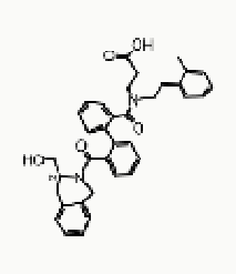 Cc1ccccc1CCN(CCC(=O)O)C(=O)c1ccccc1-c1ccccc1C(=O)N1Cc2ccccc2C[C@H]1CO